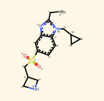 CC(C)(C)Cc1nc2cc(S(=O)(=O)CC3CNC3)ccc2n1CC1CC1